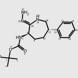 CC(C)(C)OC(=O)N[C@@H]1CC[C@@H](c2ccccc2)CN/C1=N\N